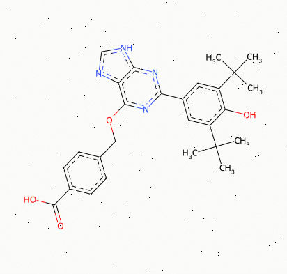 CC(C)(C)c1cc(-c2nc(OCc3ccc(C(=O)O)cc3)c3nc[nH]c3n2)cc(C(C)(C)C)c1O